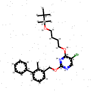 Cc1c(COc2ncc(Br)c(OCCCCO[Si](C)(C)C(C)(C)C)n2)cccc1-c1ccccc1